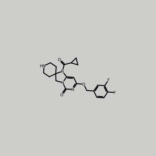 O=C(C1CC1)N1c2cc(OCc3ccc(F)c(F)c3)nc(=O)n2CC12CCNCC2